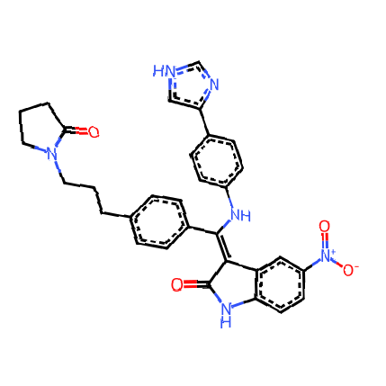 O=C1Nc2ccc([N+](=O)[O-])cc2C1=C(Nc1ccc(-c2c[nH]cn2)cc1)c1ccc(CCCN2CCCC2=O)cc1